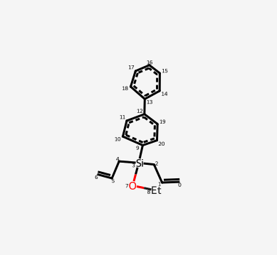 C=CC[Si](CC=C)(OCC)c1ccc(-c2ccccc2)cc1